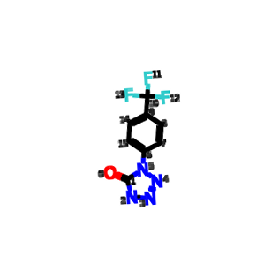 O=C1[N]N=NN1c1ccc(C(F)(F)F)cc1